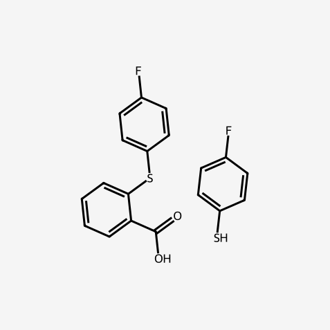 Fc1ccc(S)cc1.O=C(O)c1ccccc1Sc1ccc(F)cc1